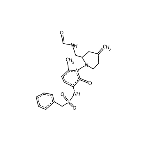 C=C1CCN(n2c(C)ccc(NS(=O)(=O)Cc3ccccc3)c2=O)C(CNC=O)C1